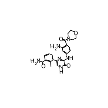 Cc1c(C(N)=O)cccc1-c1c[nH]c(=O)c(Nc2ccc(C(=O)N3CCOCC3)c(N)c2)n1